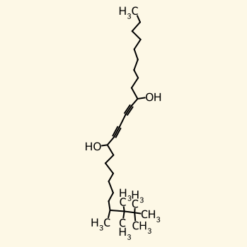 CCCCCCCCCC(O)C#CC#CC(O)CCCCCCC(C)C(C)(C)C(C)(C)C